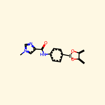 C=C1OB(c2ccc(NC(=O)c3cn(C)cn3)cc2)OC1=C